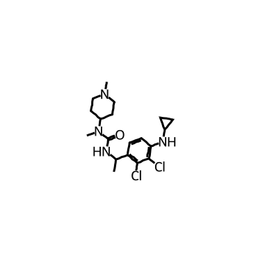 CC(NC(=O)N(C)C1CCN(C)CC1)c1ccc(NC2CC2)c(Cl)c1Cl